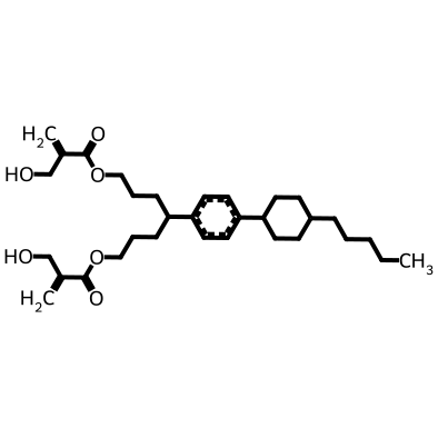 C=C(CO)C(=O)OCCCC(CCCOC(=O)C(=C)CO)c1ccc(C2CCC(CCCCC)CC2)cc1